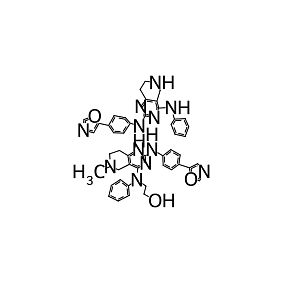 CN1CCc2nc(Nc3ccc(-c4cnco4)cc3)nc(N(CCO)c3ccccc3)c2C1.c1ccc(Nc2nc(Nc3ccc(-c4cnco4)cc3)nc3c2CNCC3)cc1